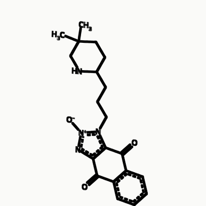 CC1(C)CCC(CCCn2c3c(n[n+]2[O-])C(=O)c2ccccc2C3=O)NC1